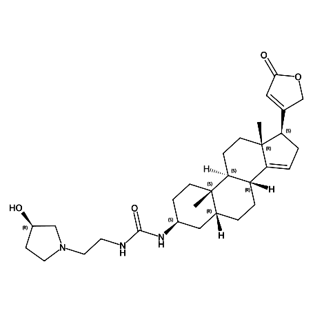 C[C@]12CC[C@H](NC(=O)NCCN3CC[C@@H](O)C3)C[C@H]1CC[C@H]1C3=CC[C@H](C4=CC(=O)OC4)[C@@]3(C)CC[C@@H]12